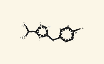 CC(C)c1nc(Cc2ccc(F)cc2)ns1